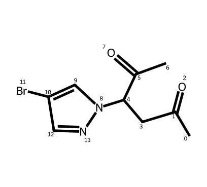 CC(=O)CC(C(C)=O)n1cc(Br)cn1